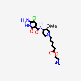 CO[C@H]1CN(CCCCCC(=O)OCCN(C)C)CC[C@H]1NC(=O)c1cc(Cl)c(N)[nH]c1=O